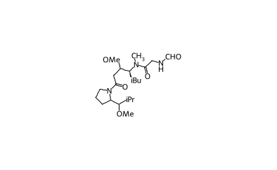 CCC(C)[C@@H](C(CC(=O)N1CCCC1C(OC)C(C)C)OC)N(C)C(=O)CNC=O